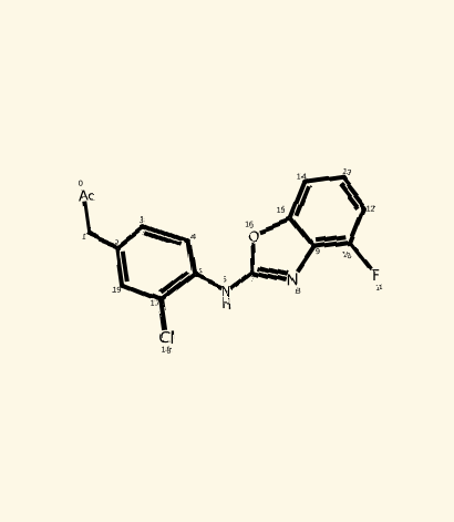 CC(=O)Cc1ccc(Nc2nc3c(F)cccc3o2)c(Cl)c1